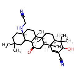 CC1(C)CC[C@]2(NCC#N)CC[C@]3(C)C(C(=O)C[C@@H]4[C@@]5(C)C=C(C#N)C(O)C(C)(C)[C@@H]5CC[C@]43C)C2C1